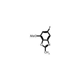 COc1cc(F)cc2nc(C)oc12